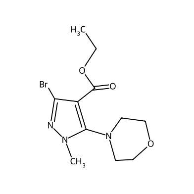 CCOC(=O)c1c(Br)nn(C)c1N1CCOCC1